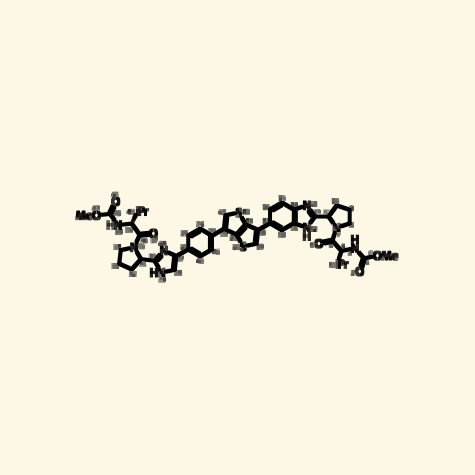 COC(=O)NC(C(=O)N1CCCC1c1nc2ccc(-c3csc4c(-c5ccc(-c6c[nH]c(C7CCCN7C(=O)[C@@H](NC(=O)OC)C(C)C)n6)cc5)csc34)cc2[nH]1)C(C)C